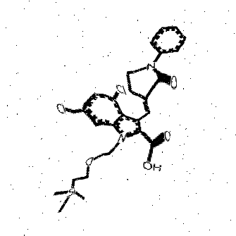 C[Si](C)(C)CCOCn1c(C(=O)O)c(C=C2CCN(c3ccccc3)C2=O)c2c(Cl)cc(Cl)cc21